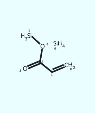 C=CC(=O)O[SiH3].[SiH4]